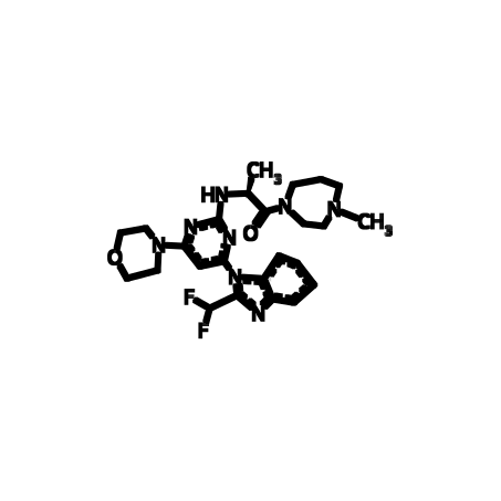 C[C@H](Nc1nc(N2CCOCC2)cc(-n2c(C(F)F)nc3ccccc32)n1)C(=O)N1CCCN(C)CC1